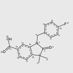 CC1(C)C(=O)N(Cc2ccc(F)cc2)c2cc(C(=O)O)ccc21